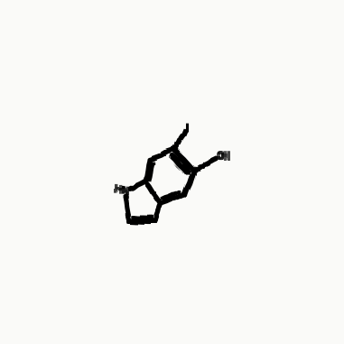 Oc1cc2cc[nH]c2cc1I